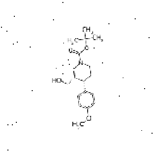 COc1ccc([C@H]2CCN(C(=O)OC(C)(C)C)C[C@H]2CO)cc1